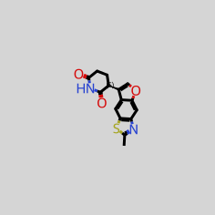 Cc1nc2cc3occ([C@@H]4CCC(=O)NC4=O)c3cc2s1